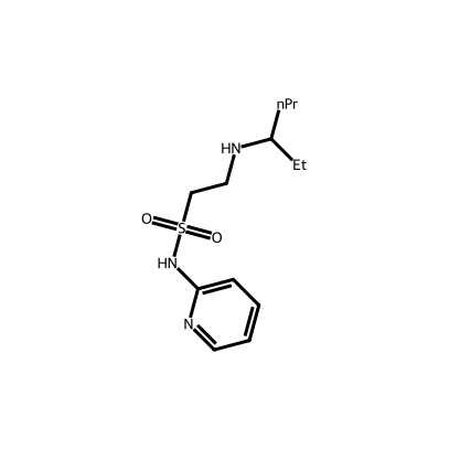 CCCC(CC)NCCS(=O)(=O)Nc1ccccn1